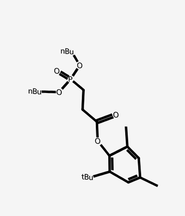 CCCCOP(=O)(CCC(=O)Oc1c(C)cc(C)cc1C(C)(C)C)OCCCC